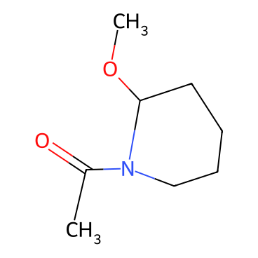 COC1CCCCN1C(C)=O